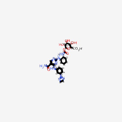 NC(=O)c1cnc(N[C@@H]2CCCC[C@@H]2NC(=O)O[C@H]2OC(C(=O)O)[C@@H](O)[C@H](O)[C@H]2O)nc1Nc1cccc(-n2nccn2)c1